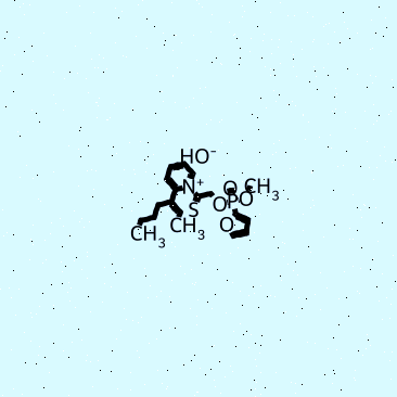 CC=C(CCCC)c1cccc[n+]1C(=S)COP(=O)(OC)c1ccco1.[OH-]